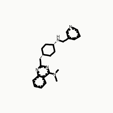 CN(C)c1nc(C[C@H]2CC[C@@H](NCc3cccnc3)CC2)nc2ccccc12